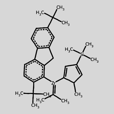 C[C](C)=[Zr]([C]1=CC([Si](C)(C)C)=CC1C)[c]1c(C(C)(C)C)ccc2c1Cc1cc(C(C)(C)C)ccc1-2